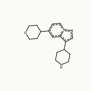 c1cn2ncc(C3CCNCC3)c2cc1C1CCOCC1